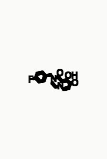 O=C1c2c(O)c(=O)ccn2CCN1Cc1ccc(F)cc1